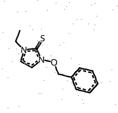 CCn1ccn(OCc2ccccc2)c1=S